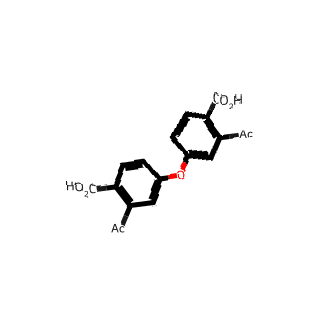 CC(=O)c1cc(Oc2ccc(C(=O)O)c(C(C)=O)c2)ccc1C(=O)O